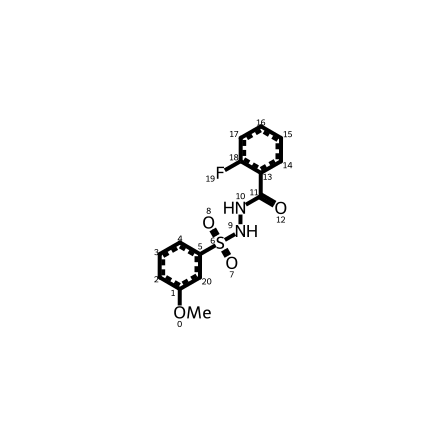 COc1cccc(S(=O)(=O)NNC(=O)c2ccccc2F)c1